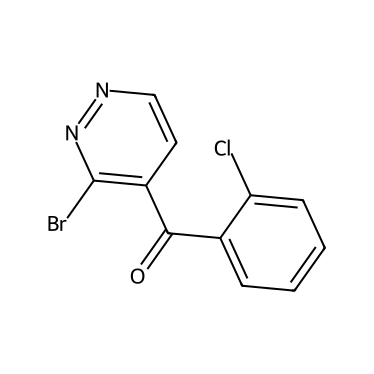 O=C(c1ccccc1Cl)c1ccnnc1Br